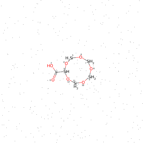 O=C(O)[SiH]1O[SiH2]O[SiH2]O[SiH2]O[SiH2]O1